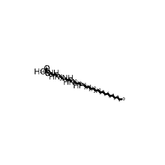 CCCCCCCCCCCCCCCCCPCCCNCCNCCNCCNOC(=O)O